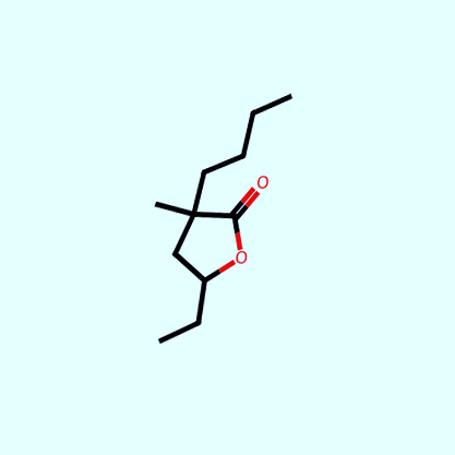 CCCCC1(C)CC(CC)OC1=O